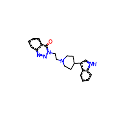 O=c1c2ccccc2nnn1CCN1CCC(c2c[nH]c3ccccc23)CC1